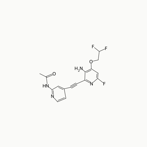 CC(=O)Nc1cc(C#Cc2nc(F)cc(OCC(F)F)c2N)ccn1